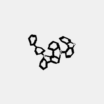 C1=CC(c2ccccc2)CC=C1n1c2ccccc2c2ccc3c(c4ccccc4n3-c3cccc4oc5ccccc5c34)c21